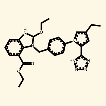 CCOC(=O)c1cccc2c1N(Cc1ccc(-n3cc(CC)cc3-c3nnn[nH]3)cc1)C(OCC)N2